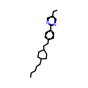 CCCCCC1CCC(CCc2ccc(-c3ncc(CC)cn3)cc2)CC1